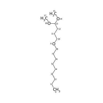 CCCCCCCCCOCCCC(OC)OC